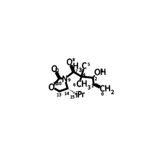 C=C[C@@H](O)C(C)(C)C(=O)N1C(=O)OC[C@H]1C(C)C